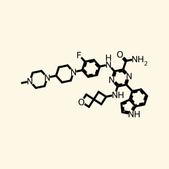 CN1CCN(C2CCN(c3ccc(Nc4nc(NC5CC6(COC6)C5)c(-c5cccc6[nH]ccc56)nc4C(N)=O)cc3F)CC2)CC1